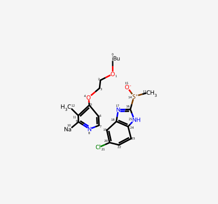 CCC(C)OCCOc1ccn[c]([Na])c1C.C[S+]([O-])c1nc2cc(Cl)ccc2[nH]1